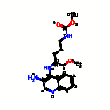 CCOC[C@H](CCCNC(=O)OC(C)(C)C)Nc1c(N)cnc2ccccc12